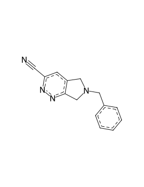 N#Cc1cc2c(nn1)CN(Cc1ccccc1)C2